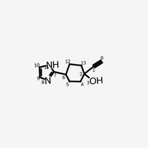 C#CC1(O)CCC(c2ncc[nH]2)CC1